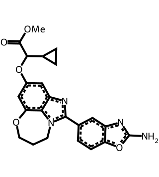 COC(=O)C(Oc1cc2c3c(c1)nc(-c1ccc4oc(N)nc4c1)n3CCCO2)C1CC1